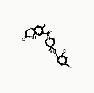 O=C1COc2cc(F)c(C(=O)N3CCC(O)(COc4ccc(F)cc4Cl)CC3)cc2N1